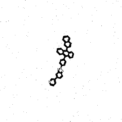 c1cncc(-c2ccc3nn(-c4ccc(-c5c6ccccc6c(-c6ccc7ccccc7c6)c6ccccc56)cc4)nc3c2)c1